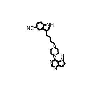 N#Cc1ccc2[nH]cc(CCCCN3CCN(c4ncnc5cc[nH]c45)CC3)c2c1